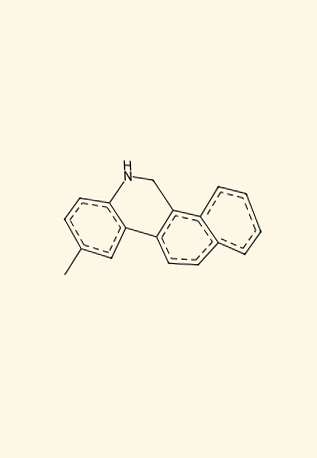 Cc1ccc2c(c1)-c1ccc3ccccc3c1CN2